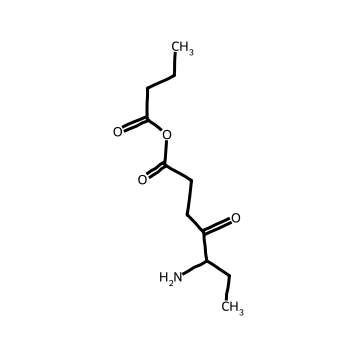 CCCC(=O)OC(=O)CCC(=O)C(N)CC